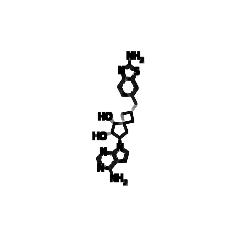 Nc1nc2ccc(C[C@H]3C[C@@]4(C[C@@H](n5ccc6c(N)ncnc65)[C@H](O)[C@@H]4O)C3)cc2s1